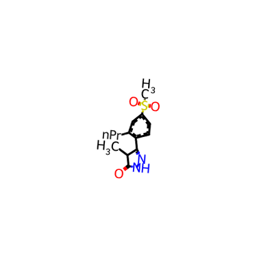 CCCc1cc(S(C)(=O)=O)ccc1C1=NNC(=O)C1C